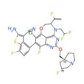 C=C(F)C1COc2c(Cl)c(-c3ccc(F)c4sc(N)c(C#N)c34)c(F)c3nc(OC[C@@]45CCCN4C[C@H](F)C5)nc(c23)N1CC(F)F